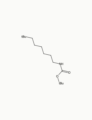 CC(C)(C)CCCCCCNC(=O)OC(C)(C)C